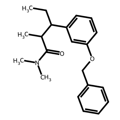 CCC(c1cccc(OCc2ccccc2)c1)C(C)C(=O)N(C)C